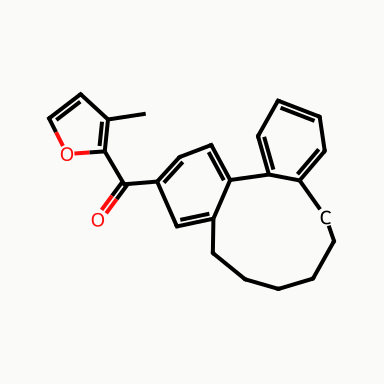 Cc1ccoc1C(=O)c1ccc2c(c1)CCCCCCc1ccccc1-2